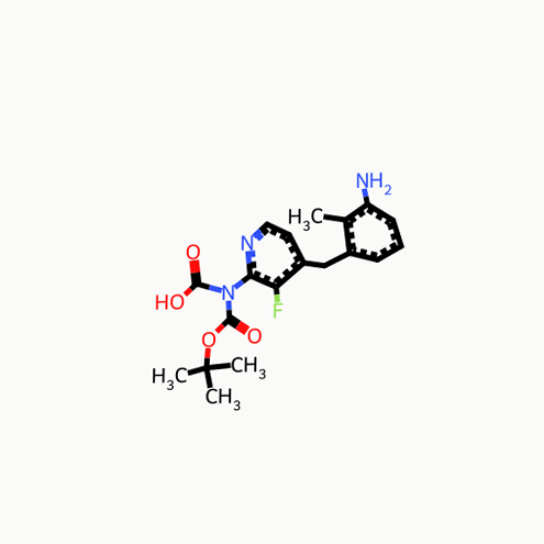 Cc1c(N)cccc1Cc1ccnc(N(C(=O)O)C(=O)OC(C)(C)C)c1F